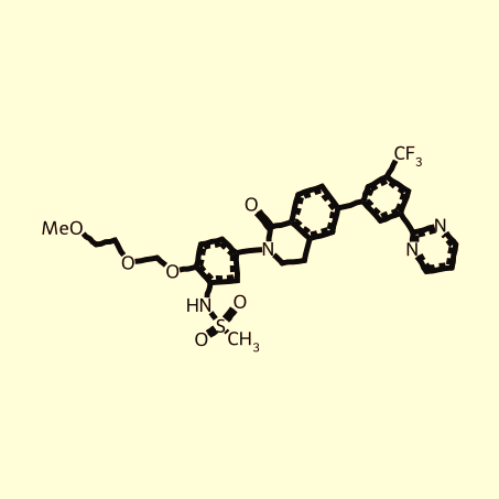 COCCOCOc1ccc(N2CCc3cc(-c4cc(-c5ncccn5)cc(C(F)(F)F)c4)ccc3C2=O)cc1NS(C)(=O)=O